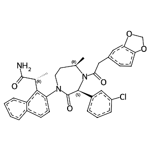 C[C@@H]1CCN(c2ccc3ccccc3c2[C@@H](C)C(N)=O)C(=O)[C@H](c2cccc(Cl)c2)N1C(=O)Cc1ccc2c(c1)OCO2